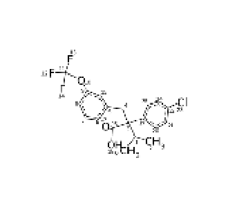 CC(C)C(Cc1cccc(OC(F)(F)F)c1)(C(=O)O)c1ccc(Cl)cc1